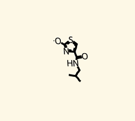 CC(C)CNC(=O)c1csc([O])n1